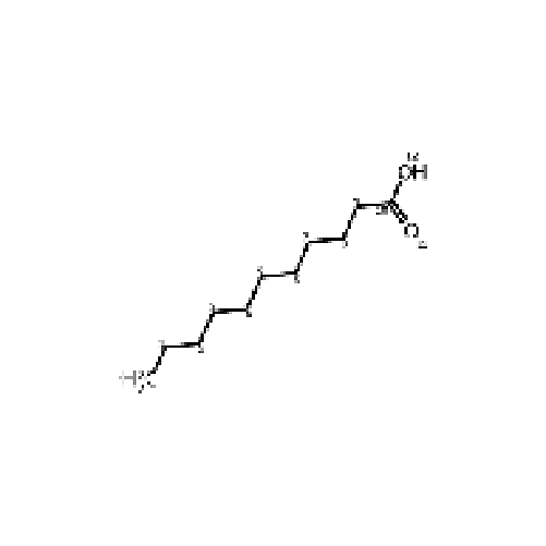 [CH2]CCCCCCCCCC(=O)O